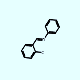 Clc1ccccc1/C=N/c1ccccc1